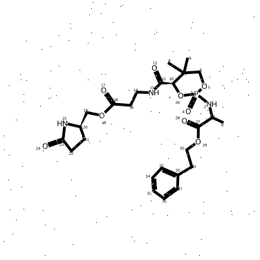 CC(NP1(=O)OCC(C)(C)[C@H](C(=O)NCCC(=O)OC[C@H]2CCC(=O)N2)O1)C(=O)OCCc1ccccc1